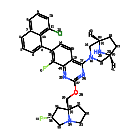 Fc1c(-c2cccc3cccc(Cl)c23)ccc2c(N3C[C@H]4CC[C@@H](C3)N4)nc(OC[C@@]34CCCN3C[C@H](F)C4)nc12